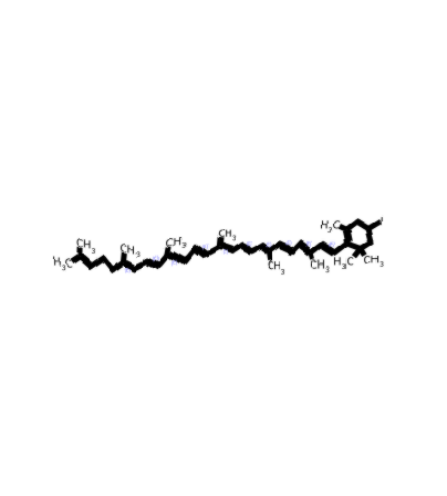 CC(C)=CCC/C(C)=C/C=C/C(C)=C/C=C/C(C)=C/C=C/C=C(C)/C=C/C=C(C)/C=C/C1=C(C)CC(I)CC1(C)C